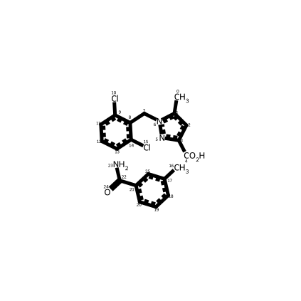 Cc1cc(C(=O)O)nn1Cc1c(Cl)cccc1Cl.Cc1cccc(C(N)=O)c1